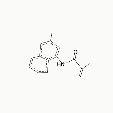 C=C(C)C(=O)Nc1cc(C)cc2ccccc12